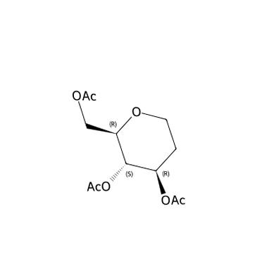 CC(=O)OC[C@H]1OCC[C@@H](OC(C)=O)[C@@H]1OC(C)=O